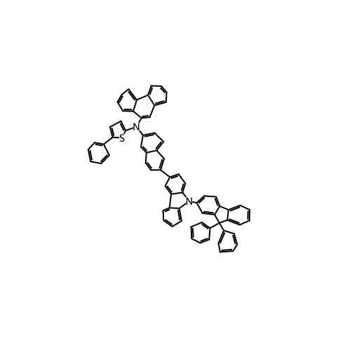 c1ccc(-c2ccc(N(c3ccc4cc(-c5ccc6c(c5)c5ccccc5n6-c5ccc6c(c5)C(c5ccccc5)(c5ccccc5)c5ccccc5-6)ccc4c3)c3cc4ccccc4c4ccccc34)s2)cc1